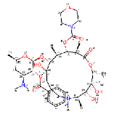 CC[C@H]1OC(=O)[C@H](C)[C@@H](OC(=O)N2CCOCC2)[C@H](C)[C@@H](O[C@@H]2O[C@H](C)C[C@H](N(C)C)[C@H]2OC(=O)c2ccccc2)[C@](C)(O)C[C@@H](C)CN(C)[C@H](C)[C@@H](O)[C@]1(C)O